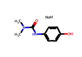 CN(C)C(=O)Nc1ccc(O)cc1.[NaH]